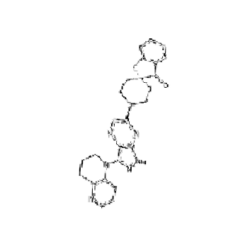 O=C1c2ccccc2C[C@]12CC[C@H](c1cnc3c(N4CCCc5ncccc54)n[nH]c3n1)CC2